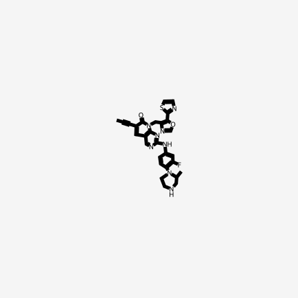 CC#Cc1cc2cnc(Nc3ccc(N4CCNCC4C)c(F)c3)nc2n(Cc2ncoc2-c2nccs2)c1=O